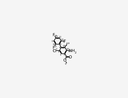 COC(=O)c1cc(Cl)c(-c2c(F)cc(F)cc2F)c(I)c1N